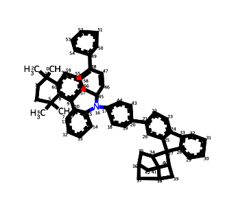 CC1(C)CCC(C)(C)c2c(-c3ccccc3N(c3ccc(-c4ccc5c(c4)C4(c6ccccc6-5)C5CC6CC7CC4C75C6)cc3)C3C=CC(c4ccccc4)=CC3)cccc21